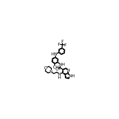 Cc1ccc(Nc2cccc(C(F)(F)F)c2)cc1NC(=O)c1cnc2[nH]ccc2c1NCCN1CCOCC1